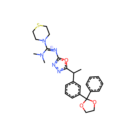 CC(c1cccc(C2(c3ccccc3)OCCO2)c1)c1nnc(/N=C(\N(C)C)N2CCSCC2)o1